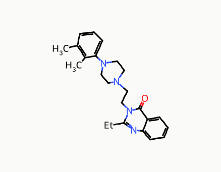 CCc1nc2ccccc2c(=O)n1CCN1CCN(c2cccc(C)c2C)CC1